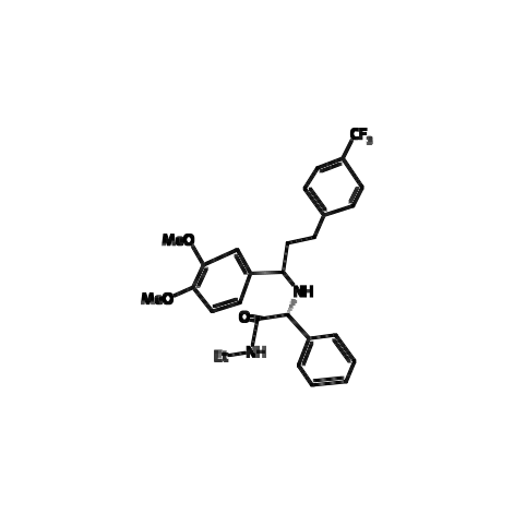 CCNC(=O)[C@H](NC(CCc1ccc(C(F)(F)F)cc1)c1ccc(OC)c(OC)c1)c1ccccc1